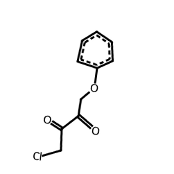 O=C(CCl)C(=O)COc1ccccc1